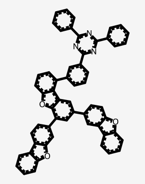 c1ccc(-c2nc(-c3ccccc3)nc(-c3cccc(-c4cccc5oc6c(-c7ccc8c(c7)oc7ccccc78)cc(-c7ccc8oc9ccccc9c8c7)cc6c45)c3)n2)cc1